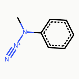 CN([N+]#N)c1ccccc1